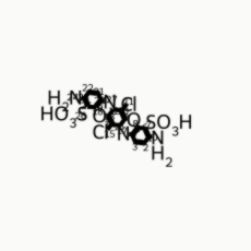 Nc1ccc2c(c1S(=O)(=O)O)Oc1c(Cl)c3c(c(Cl)c1=N2)Oc1c(ccc(N)c1S(=O)(=O)O)N=3